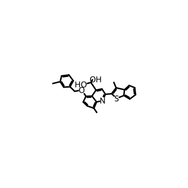 Cc1cccc(COc2ccc(C)c3nc(-c4sc5ccccc5c4C)cc(C(O)O)c23)c1